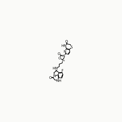 O=C1CSc2ccc(N3C[C@@H](CCCN[C@H]4CN5C(=O)CNc6ccc(F)c4c65)OC3=O)nc2N1